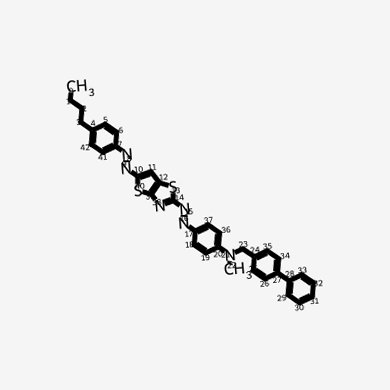 CCCCc1ccc(N=Nc2cc3sc(N=Nc4ccc(N(C)Cc5ccc(-c6ccccc6)cc5)cc4)nc3s2)cc1